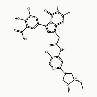 CO[C@@H]1CN(c2cc(NC(=O)Cn3cc(-c4cc(Cl)c(O)c(C(N)=O)c4)c4c(=O)n(C)c(C)nc43)c(Cl)cn2)C[C@@H]1F